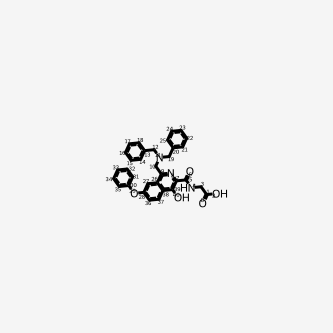 O=C(O)CNC(=O)c1nc(CN(Cc2ccccc2)Cc2ccccc2)c2cc(Oc3ccccc3)ccc2c1O